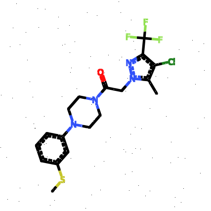 CSc1cccc(N2CCN(C(=O)Cn3nc(C(F)(F)F)c(Cl)c3C)CC2)c1